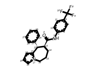 O=C(Nc1ccc(C(F)(F)F)cc1)[C@H]1CCCn2cccc2[C@@H]1c1ccccc1